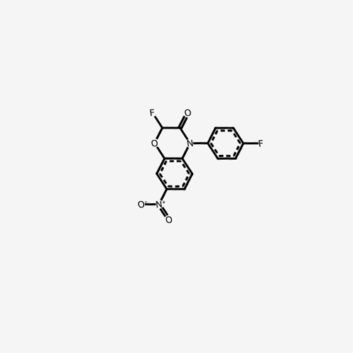 O=C1C(F)Oc2cc([N+](=O)[O-])ccc2N1c1ccc(F)cc1